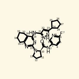 O=C(Nc1ccc(F)nc1)[C@H]1CCCN1c1nc2c(c(Nc3cc(C4CCCC4)[nH]n3)n1)CCCC2